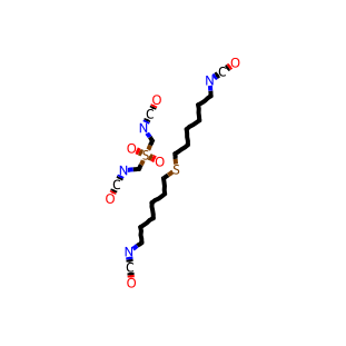 O=C=NCCCCCCSCCCCCCN=C=O.O=C=NCS(=O)(=O)CN=C=O